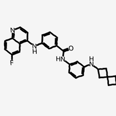 O=C(Nc1cccc(NC2CC3(CCC3)C2)c1)c1cccc(Nc2ccnc3ccc(F)cc23)c1